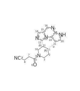 C[C@@H]1CCN(C(=O)CCC#N)C[C@@H]1c1ncc2cnc3[nH]ccc3n12